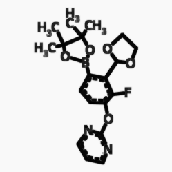 CC1(C)OB(c2ccc(Oc3ncccn3)c(F)c2C2OCCO2)OC1(C)C